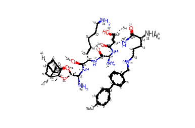 CCCCc1ccc(-c2ccc(CNCCC[C@H](NC(C)=O)C(=O)N[C@H](C(=O)N[C@@H](N)C(=O)N[C@@H](CCCCCN)C(=O)N[C@@H](N)B3OC4C[C@@H]5C[C@@H](C5(C)C)[C@]4(C)O3)[C@@H](C)O)cc2)cc1